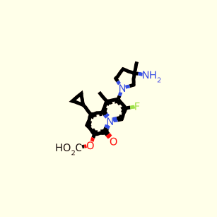 Cc1c(N2CCC(C)(N)C2)c(F)cn2c(=O)c(OC(=O)O)cc(C3CC3)c12